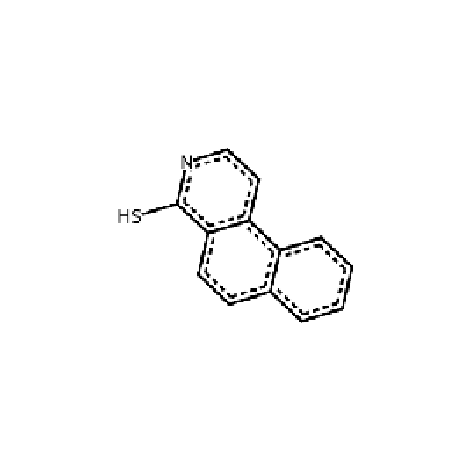 Sc1nccc2c1ccc1ccccc12